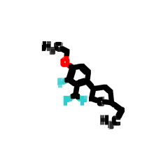 CCOc1ccc(C2CCC(CC)CC2)c(C(F)F)c1F